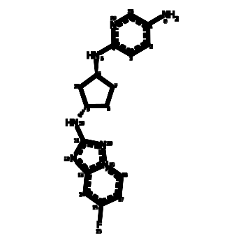 Nc1ccc(N[C@H]2CC[C@H](Nc3nc4cc(F)ccn4n3)C2)nc1